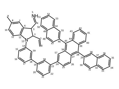 C=CC1C(C=N)c2cc(C)ccc2N1c1cccc(-c2cccc(-c3ccc4c(-c5ccc6ccccc6c5)c5ccccc5c(-c5ccc6ccccc6c5)c4c3)c2)c1